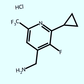 Cl.NCc1cc(C(F)(F)F)nc(C2CC2)c1F